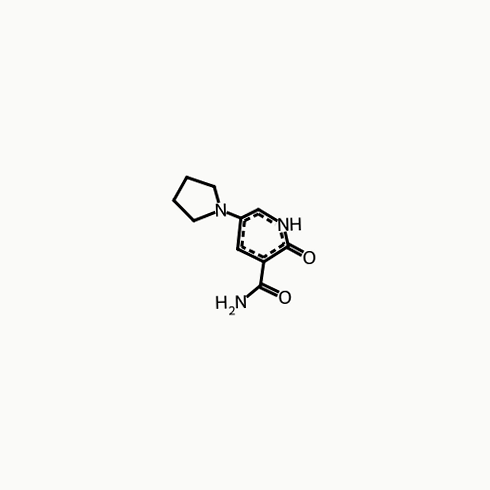 NC(=O)c1cc(N2CCCC2)c[nH]c1=O